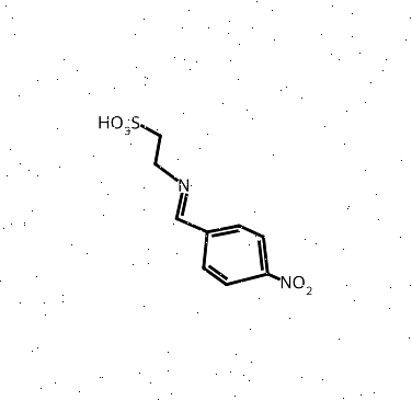 O=[N+]([O-])c1ccc(/C=N/CCS(=O)(=O)O)cc1